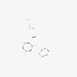 O=C(OC1CN2CCC1CC2)O[C@H](c1cccc(F)c1)c1cccc(Cl)c1